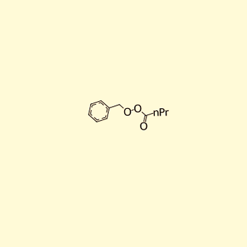 CCCC(=O)OOCc1ccccc1